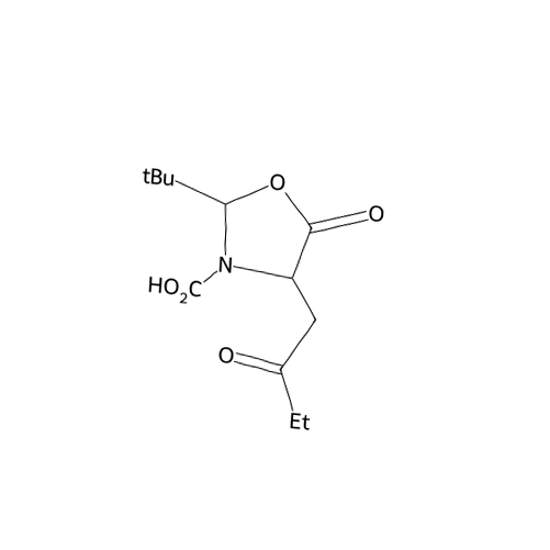 CCC(=O)CC1C(=O)OC(C(C)(C)C)N1C(=O)O